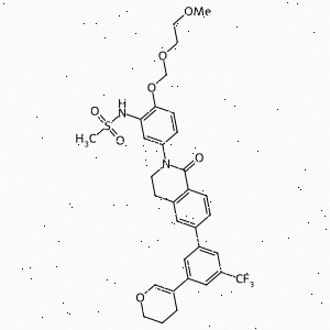 COCCOCOc1ccc(N2CCc3cc(-c4cc(C5=COCCC5)cc(C(F)(F)F)c4)ccc3C2=O)cc1NS(C)(=O)=O